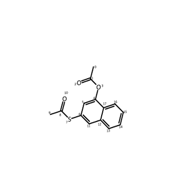 CC(=O)Oc1cc(SC(C)=O)cc2ccccc12